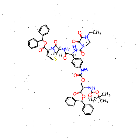 CCN1CCN(C(=O)N[C@@H](C(=O)N[C@@H]2C(=O)N3C(C(=O)OC(c4ccccc4)c4ccccc4)=CCS[C@H]23)c2ccc(NC(=O)OCC(NC(=O)OC(C)(C)C)C(=O)OC(c3ccccc3)c3ccccc3)cc2)C(=O)C1=O